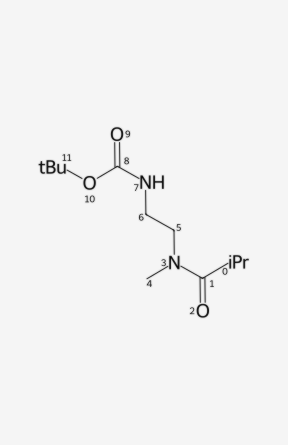 CC(C)C(=O)N(C)CCNC(=O)OC(C)(C)C